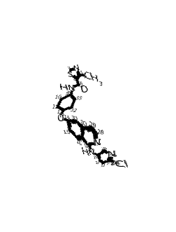 Cc1ncsc1C(=O)NC1CCC(Oc2ccc3c(Nc4ccc(Cl)nc4)nccc3c2)CC1